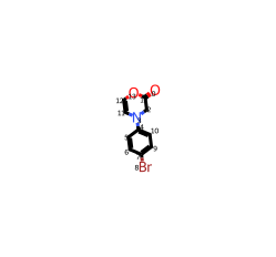 O=C1CN(c2ccc(Br)cc2)C=CO1